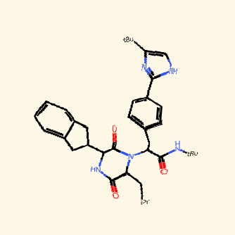 CC(C)CC1C(=O)NC(C2Cc3ccccc3C2)C(=O)N1C(C(=O)NC(C)(C)C)c1ccc(-c2nc(C(C)(C)C)c[nH]2)cc1